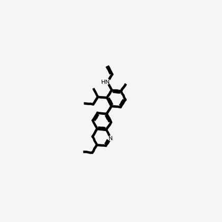 C=CNc1c(C)ccc(-c2ccc3c(c2)N=CC(CC)C3)c1C(C)CC